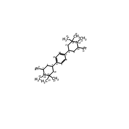 CC(C)C1CC(c2ccc(C3CC(C(C)C)N(C)C(C)(C)C3)cc2)CC(C)(C)N1C